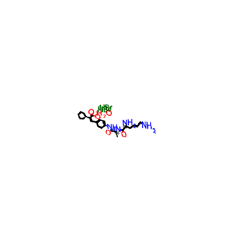 Br.Br.C[C@H](NC(=O)[C@@H](N)CCCCN)C(=O)Nc1ccc2cc(-c3ccccc3)c(=O)oc2c1.O